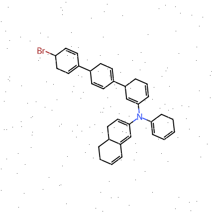 BrC1C=CC(C2C=CC(C3C=C(N(C4=CCC5CCC=CC5=C4)C4=CC=CCC4)C=CC3)=CC2)=CC1